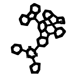 c1ccc(-c2nc(-c3ccccc3)nc(-c3ccc4c(c3)-c3cc(-n5c6ccccc6c6ccccc65)cc5c3B4c3ccccc3C53c4ccccc4-c4ccccc43)n2)cc1